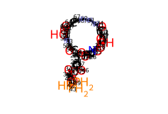 CO[C@H]1C[C@@H]2CC[C@@H](C)[C@@](O)(O2)C(=O)C(=O)N2CCC[C@H]2C(=O)O[C@H]([C@H](C)C[C@@H]2CC[C@@H](OC(=O)C(C)(COP)COPP)[C@H](OC)C2)CC(=O)[C@H](C)/C=C(\C)[C@@H](O)[C@@H](OC)C(=O)[C@H](C)C[C@H](C)/C=C/C=C/C=C/1C